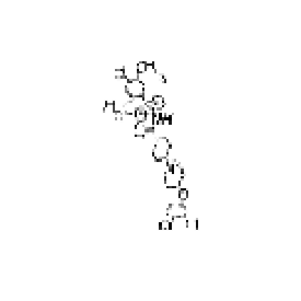 Cc1cc(S(=O)(=O)NC(=O)[C@H]2CC[C@H](N3CCC(Oc4ccc(Cl)c(Cl)c4)CC3)CC2)c(C)cc1Cl